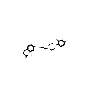 O=C1CCc2ccc(OCCCN3CCN(c4ccc(O)c(Cl)c4Cl)CC3)cc2N1